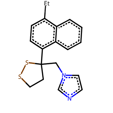 CCc1ccc(C2(Cn3ccnc3)CCSS2)c2ccccc12